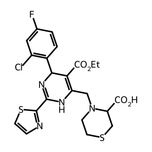 CCOC(=O)C1=C(CN2CCSCC2C(=O)O)NC(c2nccs2)=NC1c1ccc(F)cc1Cl